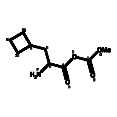 COC(=O)OC(=O)C(N)CC1CCC1